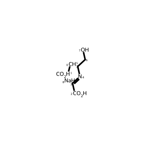 CC(=O)O.O=C(O)C=NCCO.[NaH]